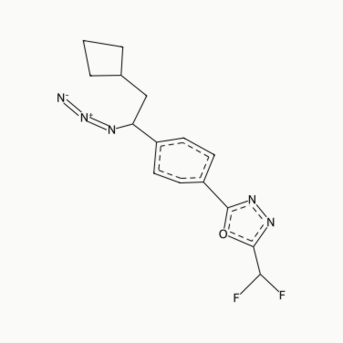 [N-]=[N+]=NC(CC1CCC1)c1ccc(-c2nnc(C(F)F)o2)cc1